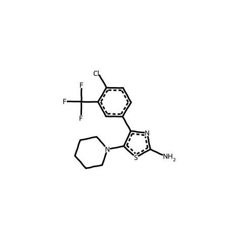 Nc1nc(-c2ccc(Cl)c(C(F)(F)F)c2)c(N2CCCCC2)s1